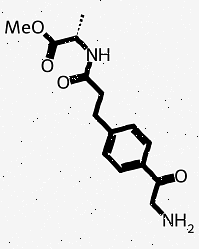 COC(=O)[C@H](C)NC(=O)CCc1ccc(C(=O)CN)cc1